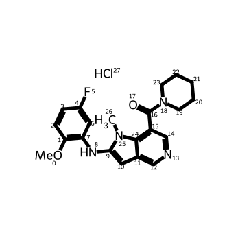 COc1ccc(F)cc1Nc1cc2cncc(C(=O)N3CCCCC3)c2n1C.Cl